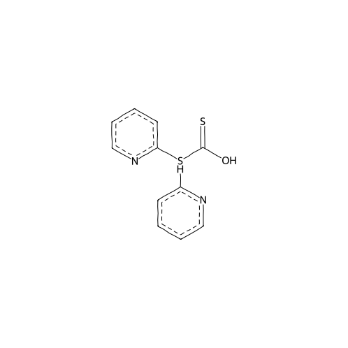 OC(=S)[SH](c1ccccn1)c1ccccn1